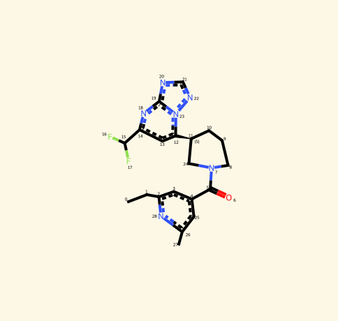 CCc1cc(C(=O)N2CCC[C@H](c3cc(C(F)F)nc4ncnn34)C2)cc(C)n1